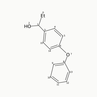 CCC(O)c1ccc(Oc2ccccc2)cc1